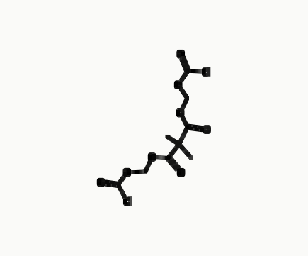 CC(C)(C(=O)OCOC(=O)Cl)C(=O)OCOC(=O)Cl